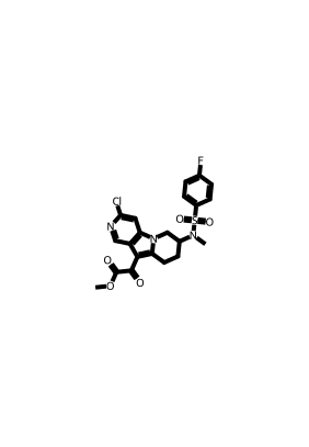 COC(=O)C(=O)c1c2n(c3cc(Cl)ncc13)CC(N(C)S(=O)(=O)c1ccc(F)cc1)CC2